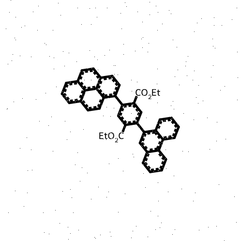 CCOC(=O)c1cc(-c2ccc3ccc4cccc5ccc2c3c45)c(C(=O)OCC)cc1-c1cc2ccccc2c2ccccc12